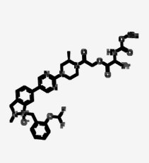 CC(C)C(NC(=O)OC(C)(C)C)C(=O)OCC(=O)N1CCN(c2ncc(-c3ccc4c(c3)[N+]([O-])(Cc3ccccc3OC(F)F)N(C)C4)cn2)C[C@H]1C